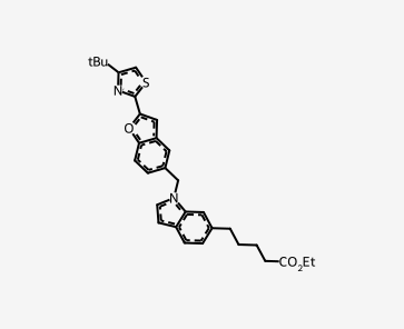 CCOC(=O)CCCCc1ccc2ccn(Cc3ccc4oc(-c5nc(C(C)(C)C)cs5)cc4c3)c2c1